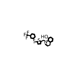 Oc1cccc2c1N(Cc1ccc(Sc3cccc(C(F)(F)F)c3)s1)C=CC2